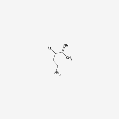 CCC(CCN)C(C)=N